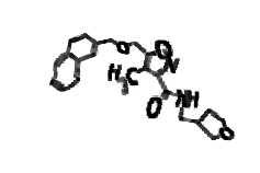 Cc1c(C(=O)NCC2CCOC2)noc1COCc1ccc2ccccc2c1